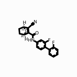 N#CC1=C(C(=O)Nc2ccc(-c3ccccc3F)c(F)c2)[C@H]2CC[C@@H]1O2